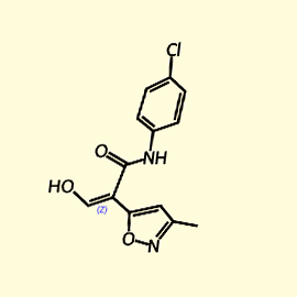 Cc1cc(/C(=C/O)C(=O)Nc2ccc(Cl)cc2)on1